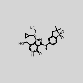 CC1(C)Cc2cc(Nc3nn([C@@H](CC#N)C4CC4)c4c(CO)c[nH]c(=O)c34)ccc2S1(=O)=O